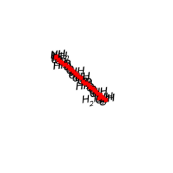 CC(=O)NCN[C@@H](CCCCNC(=O)COCCOCCNC(=O)COCCOCCNC(=O)CCCC(=O)NCCOCCOCC(=O)NCCOCCOCC(=O)NCN)C(N)=O